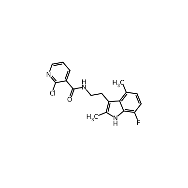 Cc1[nH]c2c(F)ccc(C)c2c1CCNC(=O)c1cccnc1Cl